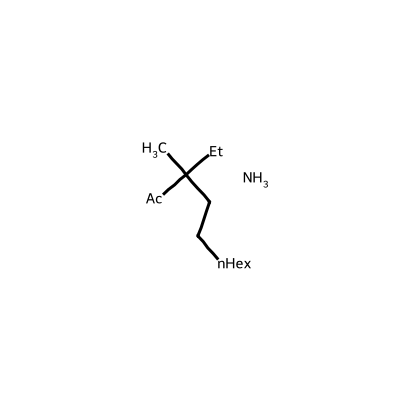 CCCCCCCCC(C)(CC)C(C)=O.N